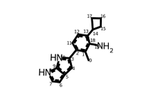 Cc1c(-c2cc3cc[nH]c3[nH]2)ccc(C2CCC2)c1N